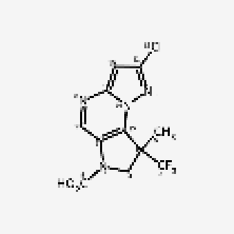 CC1(C(F)(F)F)CN(C(=O)O)c2cnc3cc(Cl)nn3c21